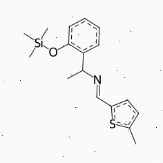 Cc1ccc(C=NC(C)c2ccccc2O[Si](C)(C)C)s1